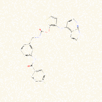 O=C(NCc1cccc(NC(=O)c2ccc(F)cc2)c1)Oc1sccc1Nc1ccnc2[nH]ccc12